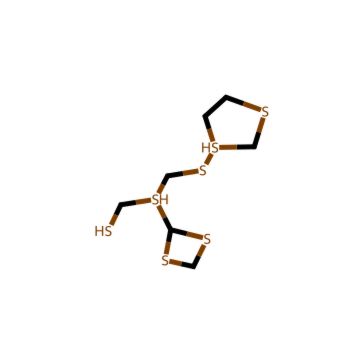 SC[SH](CS[SH]1CCSC1)C1SCS1